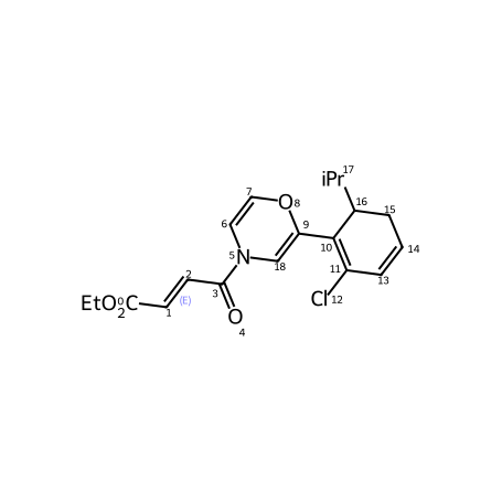 CCOC(=O)/C=C/C(=O)N1C=COC(C2=C(Cl)C=CCC2C(C)C)=C1